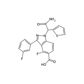 NC(=O)C(c1cccs1)n1nc(-c2cccc(F)c2)c2c(F)c(C(=O)O)ccc21